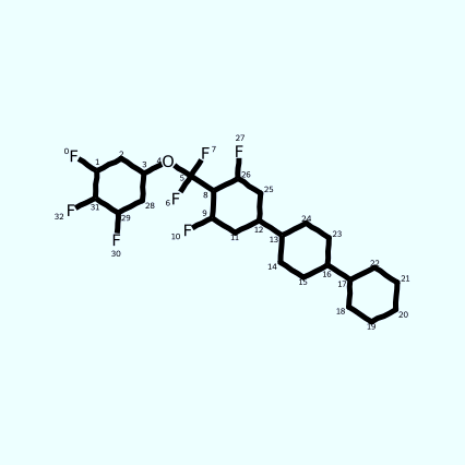 FC1CC(OC(F)(F)C2C(F)CC(C3CCC(C4CCCCC4)CC3)CC2F)CC(F)C1F